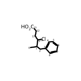 CC(Cc1ccccc1)C(Cl)CCC(=O)O